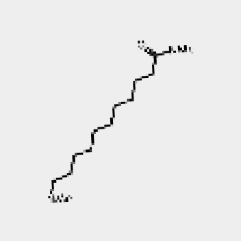 CNCCCCCCCCCCC(=O)NC